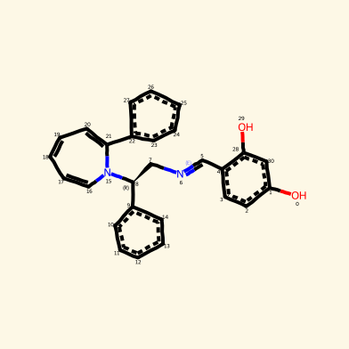 Oc1ccc(/C=N/C[C@@H](c2ccccc2)N2C=CC=CC=C2c2ccccc2)c(O)c1